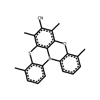 Cc1cccc2c1Oc1c(C)c(C#N)c(C)c3c1B2c1cccc(C)c1S3